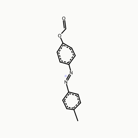 Cc1ccc(/N=N/c2ccc(OC=O)cc2)cc1